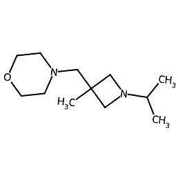 CC(C)N1CC(C)(CN2CCOCC2)C1